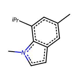 Cc1cc(C(C)C)c2c(ccn2C)c1